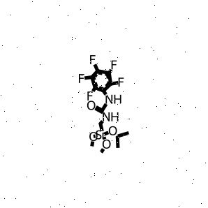 CO[Si](CNC(=O)Nc1c(F)c(F)c(F)c(F)c1F)(OC)OC(C)C